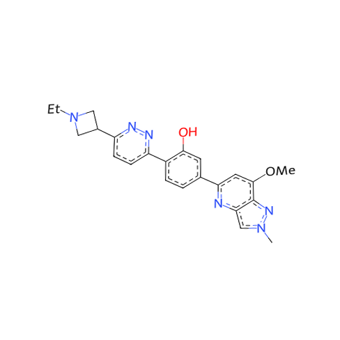 CCN1CC(c2ccc(-c3ccc(-c4cc(OC)c5nn(C)cc5n4)cc3O)nn2)C1